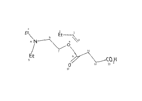 C=CCC.CCN(CC)CCOC(=O)CCC(=O)O